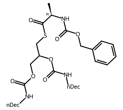 CCCCCCCCCCNC(=O)OCC(CSC(=O)[C@@H](C)NC(=O)OCc1ccccc1)OC(=O)NCCCCCCCCCC